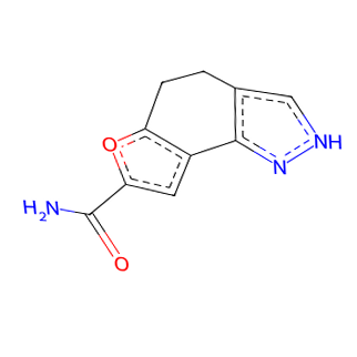 NC(=O)c1cc2c(o1)CCc1c[nH]nc1-2